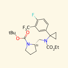 CCOC(=O)N(C[C@@H]1CCCN1C(=O)OC(C)(C)C)C1(c2ccc(F)c(C(F)(F)F)c2)CC1